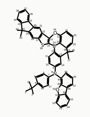 CC(C)(C)c1ccc(N(c2ccc3c(c2)C(C)(C)c2cccc4c2B3c2sc3cc5c(cc3c2O4)-c2ccccc2C5(C)C)c2cccc3c2oc2ccccc23)cc1